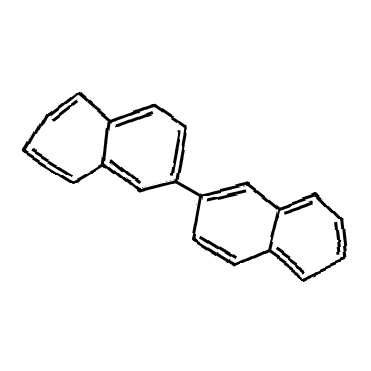 [c]1cccc2ccc(-c3ccc4ccccc4c3)cc12